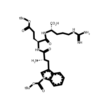 CC(C)(C)OC(=O)CC[C@H](NC(=O)[C@@H](N)Cc1cn(C(=O)OC(C)(C)C)c2ccccc12)C(=O)N[C@@H](CCCNC(=N)N)C(=O)O